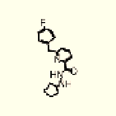 O=C(NNC1CCSC1)c1cccc(Cc2ccc(F)cc2)n1